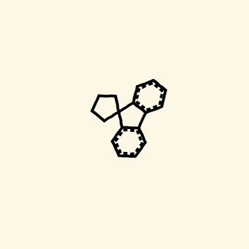 c1ccc2c(c1)-c1ccccc1C21CCCC1